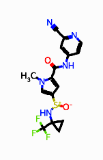 Cn1cc([S+]([O-])NC2(C(F)(F)F)CC2)cc1C(=O)Nc1ccnc(C#N)c1